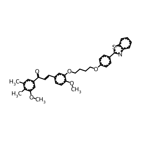 COc1ccc(/C=C/C(=O)c2cc(C)c(C)c(OC)c2)cc1OCCCCOc1ccc(-c2nc3ccccc3s2)cc1